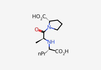 CCC[C@H](N[C@@H](C)C(=O)N1CCC[C@H]1C(=O)O)C(=O)O